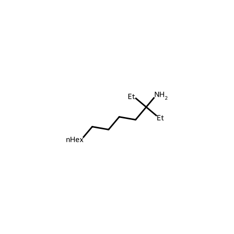 CCCCCCCCCCC(N)(CC)CC